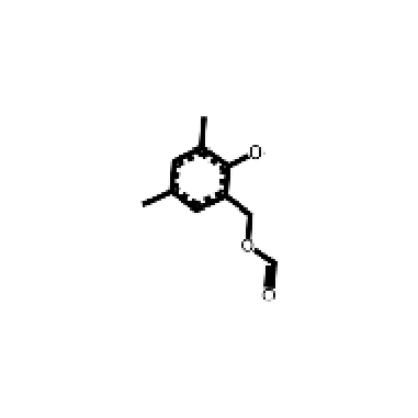 Cc1cc(C)c([O])c(COC=O)c1